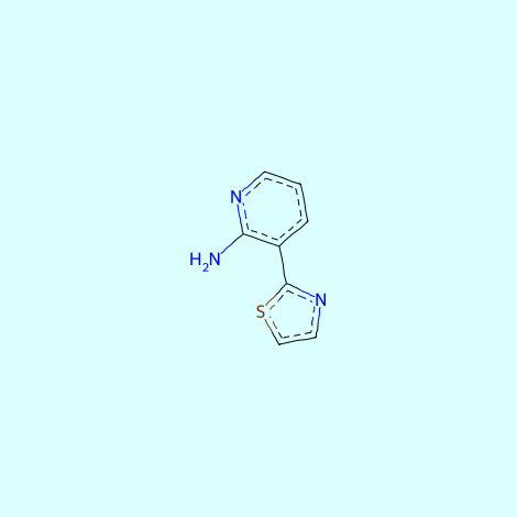 Nc1ncccc1-c1nccs1